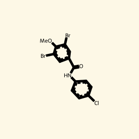 COc1c(Br)cc(C(=O)Nc2ccc(Cl)cc2)cc1Br